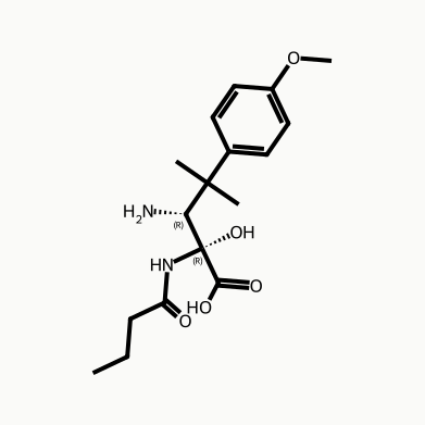 CCCC(=O)N[C@](O)(C(=O)O)[C@H](N)C(C)(C)c1ccc(OC)cc1